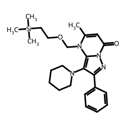 Cc1cc(=O)n2nc(-c3ccccc3)c(N3CCCCC3)c2n1COCC[Si](C)(C)C